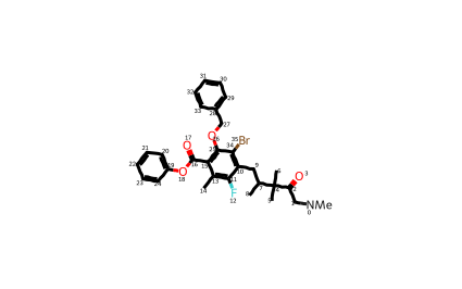 CNCC(=O)C(C)(C)C(C)Cc1c(F)c(C)c(C(=O)Oc2ccccc2)c(OCc2ccccc2)c1Br